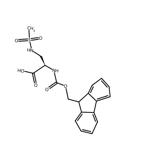 CS(=O)(=O)NC[C@@H](NC(=O)OCC1c2ccccc2-c2ccccc21)C(=O)O